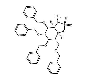 CN1[C@@H]2[C@H](OCc3ccccc3)[C@@H](OCc3ccccc3)[C@H](OCc3ccccc3)[C@@H](COCc3ccccc3)[C@@H]2OS1(=O)=O